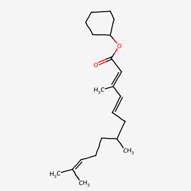 CC(C)=CCCC(C)C/C=C/C(C)=C/C(=O)OC1CCCCC1